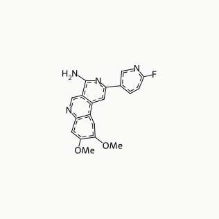 COc1cc2ncc3c(N)nc(-c4ccc(F)nc4)cc3c2cc1OC